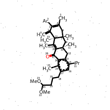 C=C1C(C(C)=O)=C(C)C[C@@]2(C)C[C@@]3(C)Cc4c(C(C)C)cc(CCCC(OC)OC)c(C)c4C(=O)C3=C(C)[C@@]12C